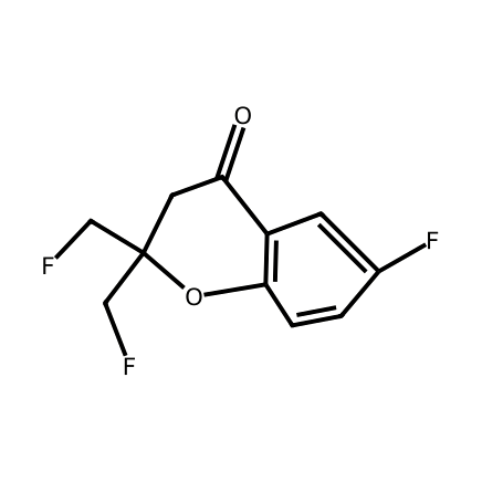 O=C1CC(CF)(CF)Oc2ccc(F)cc21